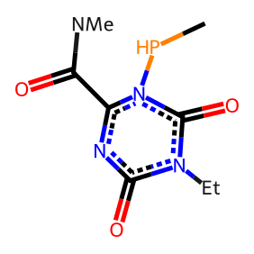 CCn1c(=O)nc(C(=O)NC)n(PC)c1=O